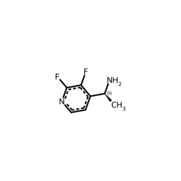 C[C@H](N)c1ccnc(F)c1F